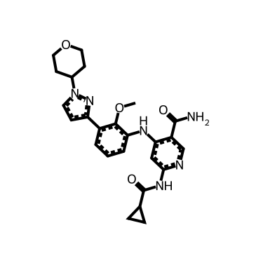 COc1c(Nc2cc(NC(=O)C3CC3)ncc2C(N)=O)cccc1-c1ccn(C2CCOCC2)n1